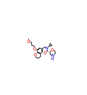 COCCCOc1cc(CN(C(=O)[C@H]2CNCCO2)C2CC2)cc2c1OCCC2